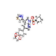 O=S(=O)(c1ccccc1)n1cc(-c2cscn2)c2cc(C3CCC4(CC3)OCCO4)cnc21